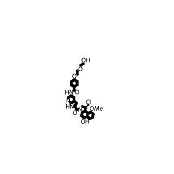 COc1cccc2c(O)cc3c(c12)[C@H](CCl)CN3C(=O)c1cc2cc(NC(=O)c3ccc(OCCOCCO)cc3)cnc2[nH]1